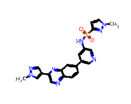 Cn1cc(-c2cnc3ccc(-c4cncc(NS(=O)(=O)c5ccn(C)n5)c4)cc3n2)cn1